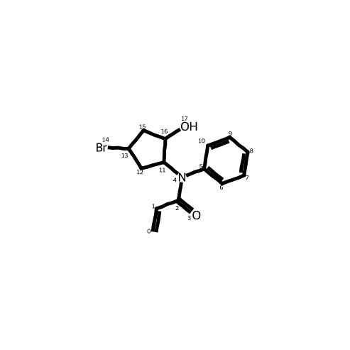 C=CC(=O)N(c1ccccc1)C1CC(Br)CC1O